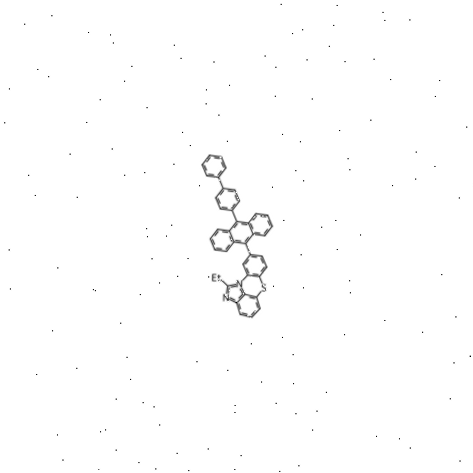 CCc1nc2cccc3c2n1-c1cc(-c2c4ccccc4c(-c4ccc(-c5ccccc5)cc4)c4ccccc24)ccc1S3